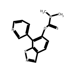 CN(C)C(=S)Oc1ccc2cnsc2c1-c1cccnc1